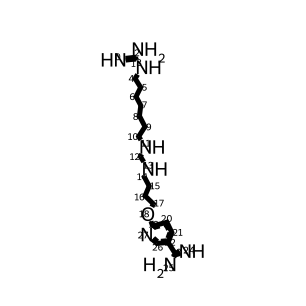 N=C(N)NCCCCCCCNCNCCCCOc1ccc(C(=N)N)cn1